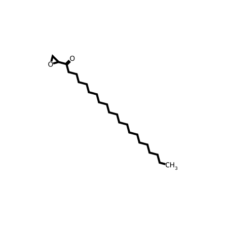 CCCCCCCCCCCCCCCCCCCCC(=O)C1CO1